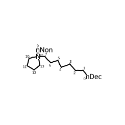 CCCCCCCCCCCCCCCCC[N+]1(CCCCCCCCC)CCCC1